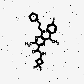 Cc1nc(NCCN2CCCC2)c(C(C)c2ccc(F)cc2)nc1C(=O)NC1CC(F)(F)C1